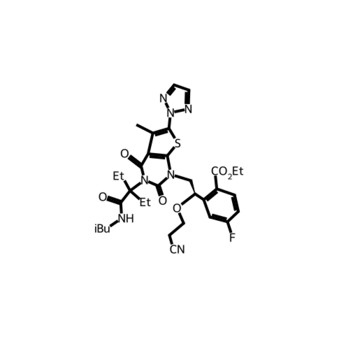 CCOC(=O)c1ccc(F)cc1[C@H](Cn1c(=O)n(C(CC)(CC)C(=O)NC(C)CC)c(=O)c2c(C)c(-n3nccn3)sc21)OCCC#N